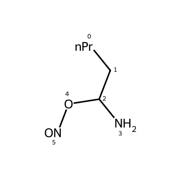 CCCCC(N)ON=O